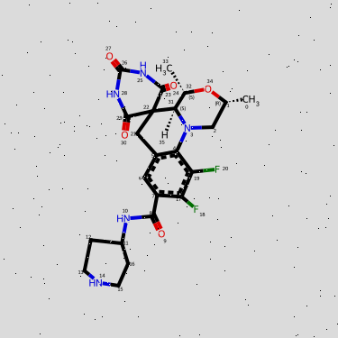 C[C@@H]1CN2c3c(cc(C(=O)NC4CCNCC4)c(F)c3F)CC3(C(=O)NC(=O)NC3=O)[C@H]2[C@H](C)O1